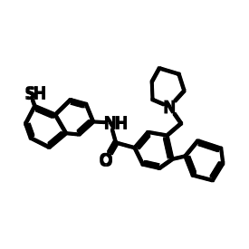 O=C(Nc1ccc2c(S)cccc2c1)c1ccc(-c2ccccc2)c(CN2CCCCC2)c1